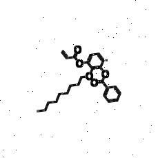 C=CC(=O)Oc1cc[c]c(OC(=O)c2ccccc2)c1OCCCCCCCCC